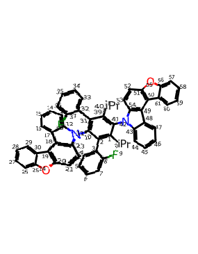 CC(C)c1c(-c2ccccc2F)c(-n2c3ccccc3c3c4c(ccc32)oc2ccccc24)c(-c2ccccc2F)c(C(C)C)c1-n1c2ccccc2c2c3c(ccc21)oc1ccccc13